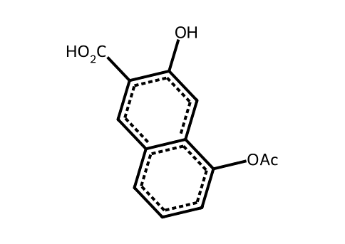 CC(=O)Oc1cccc2cc(C(=O)O)c(O)cc12